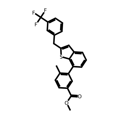 COC(=O)c1ccc(C)c(-c2cccc3cc(Cc4cccc(C(F)(F)F)c4)sc23)c1